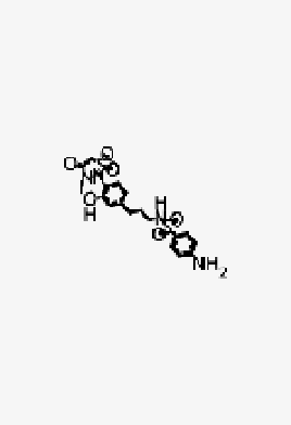 Nc1ccc(S(=O)(=O)NCCCc2ccc(N3N(I)C(=O)CS3(=O)=O)c(O)c2)cc1